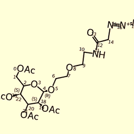 CC(=O)OCC1O[C@@H](OCCOCCNC(=O)CN=[N+]=[N-])[C@@H](OC(C)=O)C(OC(C)=O)[C@H]1OC(C)=O